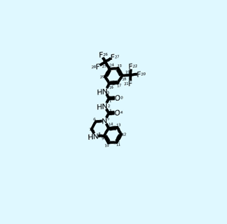 O=C(NC(=O)N1CCNc2c[c]ccc21)Nc1cc(C(F)(F)F)cc(C(F)(F)F)c1